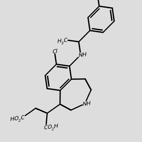 CC(Nc1c(Cl)ccc2c1CCNCC2C(CC(=O)O)C(=O)O)c1cccc(C#N)c1